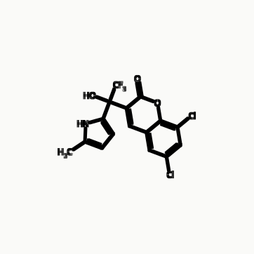 Cc1ccc(C(O)(c2cc3cc(Cl)cc(Cl)c3oc2=O)C(F)(F)F)[nH]1